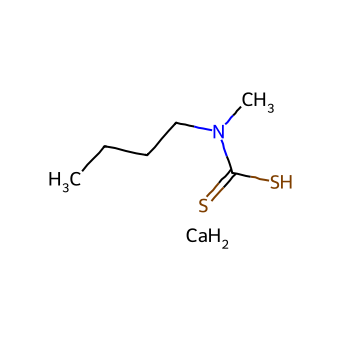 CCCCN(C)C(=S)S.[CaH2]